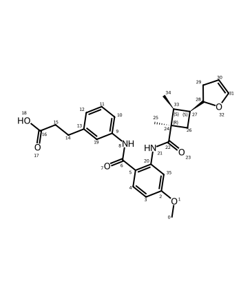 COc1ccc(C(=O)Nc2cccc(CCC(=O)O)c2)c(NC(=O)[C@]2(C)C[C@H](C3CC=CO3)[C@@H]2C)c1